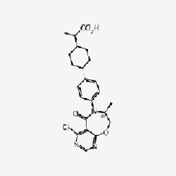 CC(C(=O)O)[C@H]1CC[C@H](c2ccc(N3C(=O)c4c(Cl)ncnc4OC[C@@H]3C)cc2)CC1